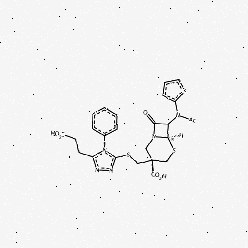 CC(=O)N(c1cccs1)C1C(=O)N2CC(CSc3nnc(CCC(=O)O)n3-c3ccccc3)(C(=O)O)CS[C@H]12